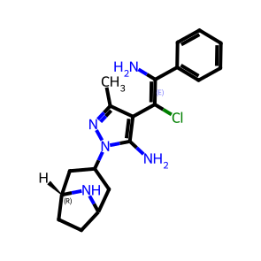 Cc1nn(C2CC3CC[C@H](C2)N3)c(N)c1/C(Cl)=C(\N)c1ccccc1